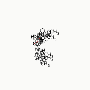 COC(=O)N[C@H](C(=O)N1C2CCCCC2C[C@H]1c1nc(C2=CC3=CC[C@@H]2CC[C@@H]2C=CC(=C(c4ccc(-c5c[nH]c([C@@H]6CC7CCCCC7N6C(=O)[C@@H](NC(=O)OC)C(C)C)n5)cc4)C2)CC3)c[nH]1)C(C)C